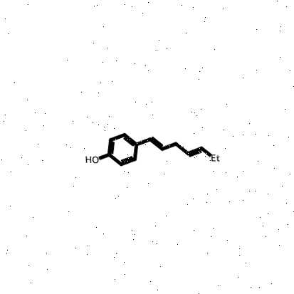 CCC=CCC=Cc1ccc(O)cc1